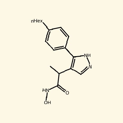 CCCCCCc1ccc(-c2[nH]ncc2C(C)C(=O)NO)cc1